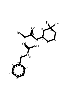 O=C(N[C@H](C(=O)CBr)C1CCCC(F)(F)C1)OCc1ccccc1